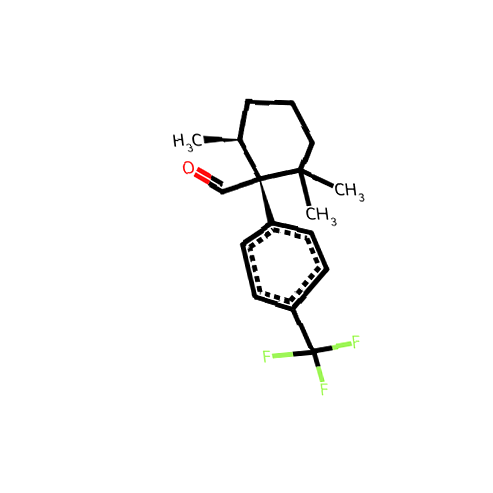 C[C@H]1CCCC(C)(C)[C@@]1(C=O)c1ccc(C(F)(F)F)cc1